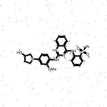 COc1cc(N2CCC(O)C2)ccc1Nc1nc(Nc2ccccc2S(=O)(=O)C(C)C)c2ccccc2n1